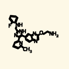 Cc1cccc(-c2nc(CNc3ccccc3F)[nH]c2-c2ccc3ncc(OCCN)nc3c2)n1